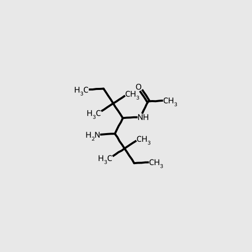 CCC(C)(C)C(N)C(NC(C)=O)C(C)(C)CC